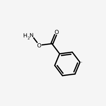 NOC(=O)c1c[c]ccc1